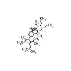 C=C(C)/C(=C\C=C(C)C)C(/C(C)=C/C)c1ccc(C)c(/C(C)=C(/CC(CCC)CCCC)C(=C)SC)c1